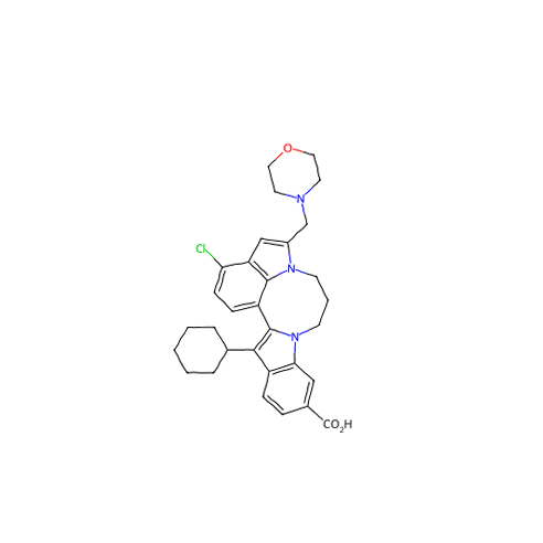 O=C(O)c1ccc2c(C3CCCCC3)c3n(c2c1)CCCn1c(CN2CCOCC2)cc2c(Cl)ccc-3c21